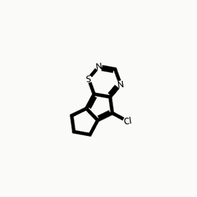 Clc1c2ncnsc-2c2c1CCC2